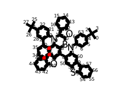 CC(C)(C)c1ccc(N2B3c4oc5ccccc5c4N(c4ccc(C(C)(C)C)cc4-c4ccccc4)c4cc5c(oc6ccccc65)c(c43)-c3cc4sc5ccccc5c4cc32)cc1